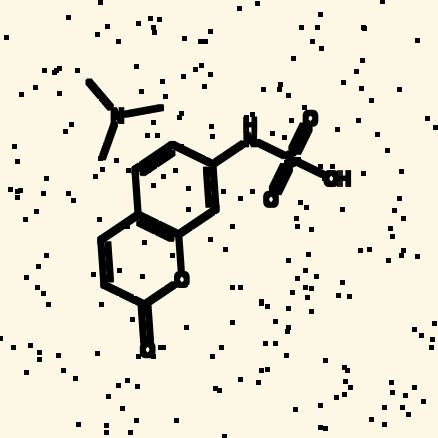 CN(C)C.O=c1ccc2ccc(NS(=O)(=O)O)cc2o1